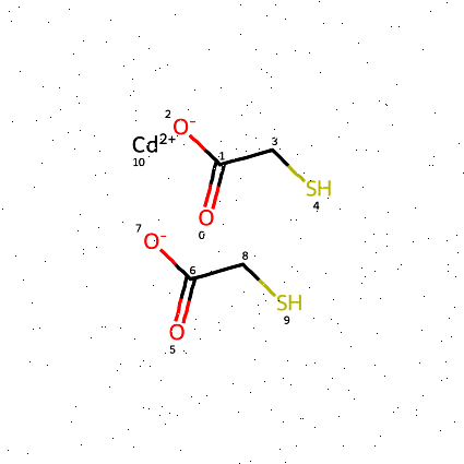 O=C([O-])CS.O=C([O-])CS.[Cd+2]